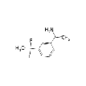 C=C(N)c1cccc(C(C)(F)F)c1